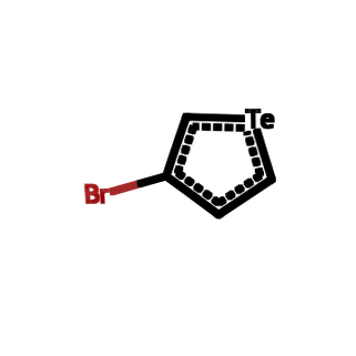 Brc1cc[te]c1